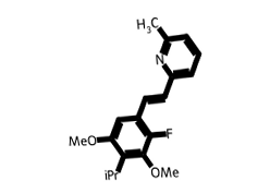 COc1cc(/C=C/c2cccc(C)n2)c(F)c(OC)c1C(C)C